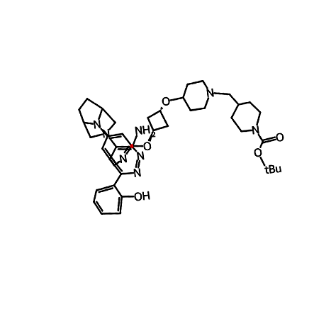 CC(C)(C)OC(=O)N1CCC(CN2CCC(O[C@H]3C[C@H](Oc4cc(N5C6CCC5CN(c5cc(-c7ccccc7O)nnc5N)C6)ccn4)C3)CC2)CC1